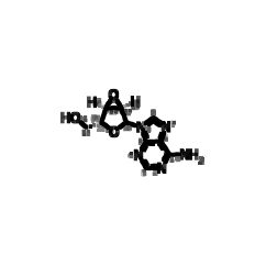 Nc1ncnc2c1ncn2C1O[C@H](CO)[C@H]2O[C@@H]12